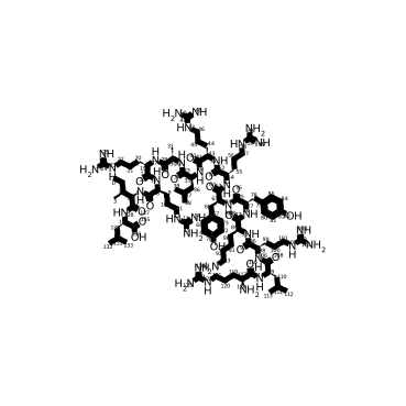 CC[C@H](C)[C@H](NC(=O)[C@H](CCCNC(=N)N)NC(=O)[C@H](CCCNC(=N)N)NC(=O)[C@H](C)NC(=O)[C@H](CC(C)C)NC(=O)[C@H](CCCNC(=N)N)NC(=O)[C@H](CCCNC(=N)N)NC(=O)[C@H](Cc1ccc(O)cc1)NC(=O)[C@H](Cc1ccc(O)cc1)NC(=O)[C@H](CCCCN)NC(=O)[C@H](CCCNC(=N)N)NC(=O)[C@H](CC(C)C)NC(=O)[C@@H](N)CCCNC(=N)N)C(=O)N[C@@H](CC(C)C)C(=O)O